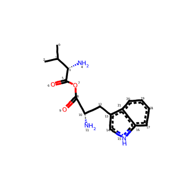 CC(C)[C@H](N)C(=O)OC(=O)[C@@H](N)Cc1c[nH]c2ccccc12